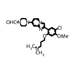 COc1cc(OCCCN(C)C)c(-c2cn3ccc(N4CCN(C=O)CC4)cc3n2)cc1Cl